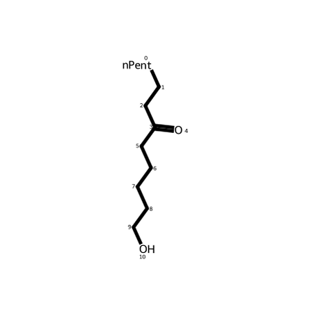 CCCCCCCC(=O)CCCCCO